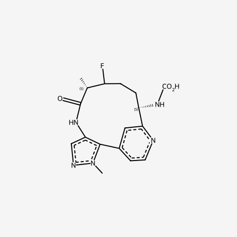 C[C@H]1C(=O)Nc2cnn(C)c2-c2ccnc(c2)[C@@H](NC(=O)O)CCC1F